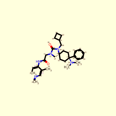 C=N/C=C(C)\C(=C/C)NC(=O)CN1C[C@]2(CC[C@](c3ccccc3)(N(C)C)CC2)N(CC2CCC2)C1=O